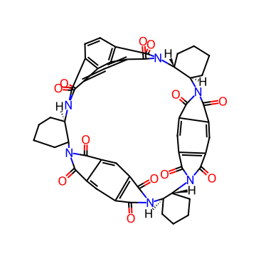 O=C1c2ccc3c4c5ccc(c24)C(=O)N1[C@@H]1CCCCC1n1c(=O)c2cc4c(=O)n(c(=O)c4cc2c1=O)[C@@H]1CCCC[C@H]1n1c(=O)c2cc4c(=O)n(c(=O)c4cc2c1=O)[C@@H]1CCCC[C@H]1N(C3=O)C5=O